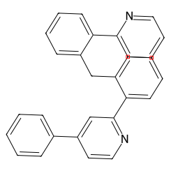 c1ccc(-c2ccnc(-c3ccccc3Cc3ccccc3-c3ccccn3)c2)cc1